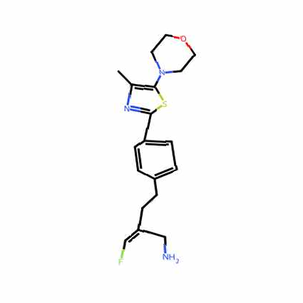 Cc1nc(-c2ccc(CC/C(=C/F)CN)cc2)sc1N1CCOCC1